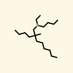 CCCCCCC(C)(CCCC)CN(CC)CCCC